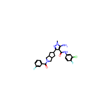 Cn1nc(C2CC3CN(C(=O)c4cccc(F)c4)CC3C2)c(C(=O)Nc2ccc(F)c(Cl)c2)c1N